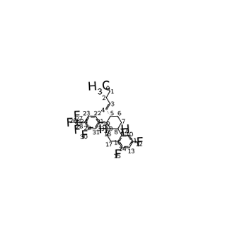 CCC/C=C/[C@@H]1CC[C@H]2c3cc(F)cc(F)c3CC[C@@H]2[C@H]1c1ccc(C(F)(F)F)c(F)c1